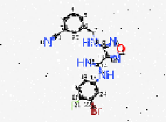 N#Cc1cccc(CNc2nonc2C(=N)Nc2ccc(F)c(Br)c2)c1